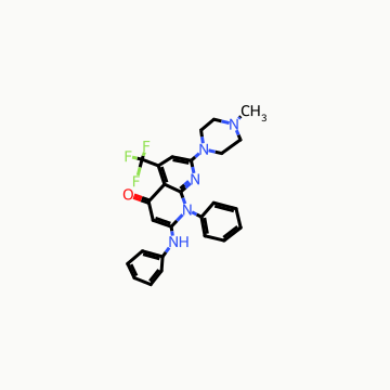 CN1CCN(c2cc(C(F)(F)F)c3c(=O)cc(Nc4ccccc4)n(-c4ccccc4)c3n2)CC1